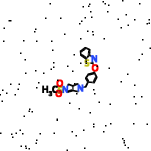 CS(=O)(=O)N1C=C2CN(Cc3ccc(Oc4nc5ccccc5s4)cc3)CC2C1